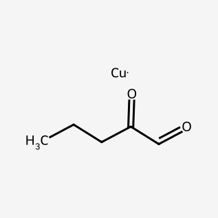 CCCC(=O)C=O.[Cu]